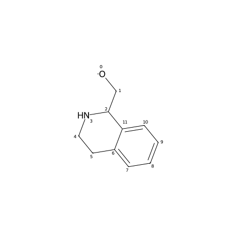 [O]CC1NCCc2ccccc21